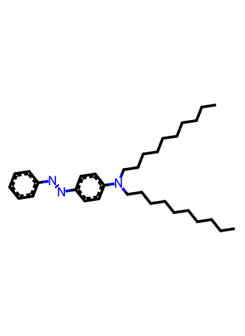 CCCCCCCCCCN(CCCCCCCCCC)c1ccc(/N=N/c2ccccc2)cc1